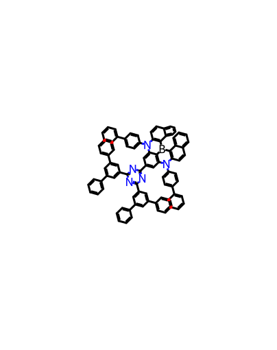 c1ccc(-c2ccc(N3c4cc(-c5nc(-c6cc(-c7ccccc7)cc(-c7ccccc7)c6)nc(-c6cc(-c7ccccc7)cc(-c7ccccc7)c6)n5)cc5c4B(c4c3ccc3ccccc43)c3c(ccc4ccccc34)N5c3ccc(-c4ccccc4)cc3)cc2)cc1